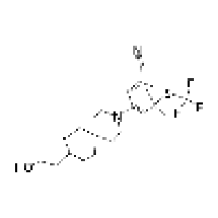 C/C(C#N)=C\C(=C/C(C)(C)SC(F)(F)F)N1CCC2(CCC(CCO)CC2)CC1